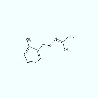 CC(C)=NOCc1ccccc1C